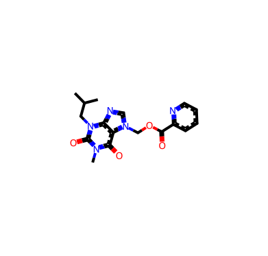 CC(C)Cn1c(=O)n(C)c(=O)c2c1ncn2COC(=O)c1ccccn1